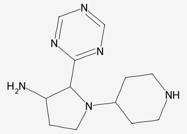 NC1CCN(C2CCNCC2)C1c1ncncn1